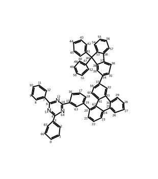 c1ccc(-c2nc(-c3ccccc3)nc(-c3cccc(-c4cccc5c6ccccc6c6cc(-c7ccc8c(c7)C(c7ccccc7)(c7ccccc7)c7ccccc7-8)ccc6c45)c3)n2)cc1